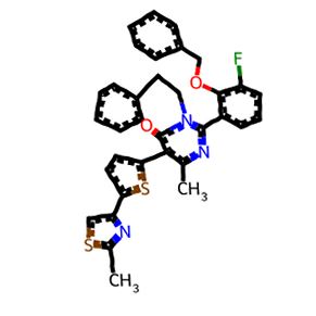 Cc1nc(-c2ccc(-c3c(C)nc(-c4cccc(F)c4OCc4ccccc4)n(CCc4ccccc4)c3=O)s2)cs1